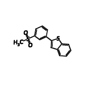 CS(=O)(=O)c1cccc(-c2cc3ccccc3s2)c1